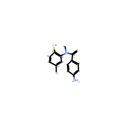 C=C(c1ccc(N)cc1)N(C)c1cc(C)ccc1F